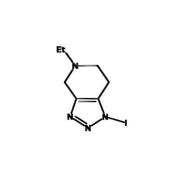 CCN1CCc2c(nnn2I)C1